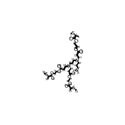 CSC(C)C(=O)OCCOC(=O)CCN(CCCN(C)C)CCCN(CCC(=O)OCCOC(=O)C(C)SC)CCC(=O)OCCOC(=O)C(C)SC